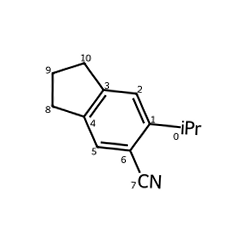 CC(C)c1cc2c(cc1C#N)CCC2